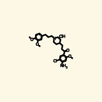 COc1ccc(CCCN2CCC(CCC(=O)c3cc(Cl)c(N)cc3OC)CC2)cc1OC.Cl